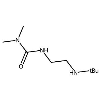 CN(C)C(=O)NCCNC(C)(C)C